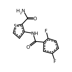 NC(=O)c1sccc1NC(=O)c1cc(F)ccc1F